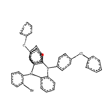 Brc1ccccc1N(c1ccccc1)c1ccccc1N(c1ccc(Oc2ccccc2)cc1)c1ccc(Oc2ccccc2)cc1